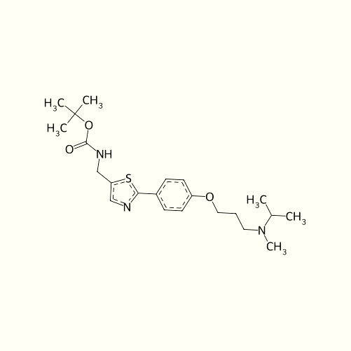 CC(C)N(C)CCCOc1ccc(-c2ncc(CNC(=O)OC(C)(C)C)s2)cc1